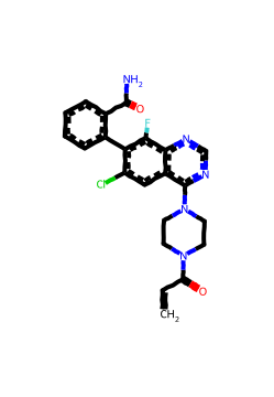 C=CC(=O)N1CCN(c2ncnc3c(F)c(-c4ccccc4C(N)=O)c(Cl)cc23)CC1